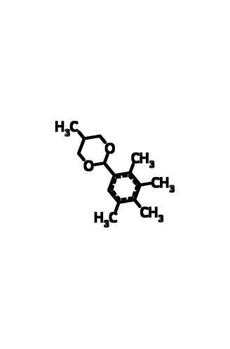 Cc1cc(C2OCC(C)CO2)c(C)c(C)c1C